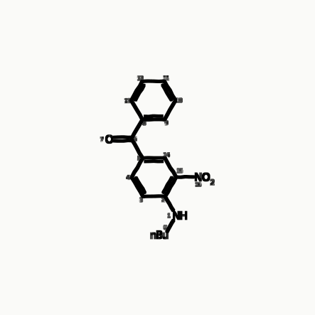 CCCCNc1ccc(C(=O)c2ccccc2)cc1[N+](=O)[O-]